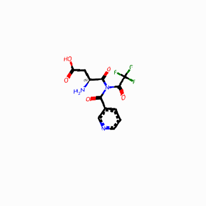 N[C@@H](CC(=O)O)C(=O)N(C(=O)c1cccnc1)C(=O)C(F)(F)F